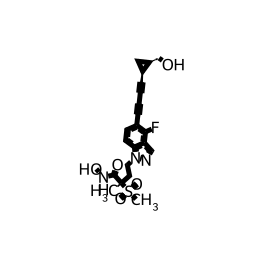 C[C@@](CCn1ncc2c(F)c(C#CC#C[C@H]3C[C@@H]3CO)ccc21)(C(=O)NO)S(C)(=O)=O